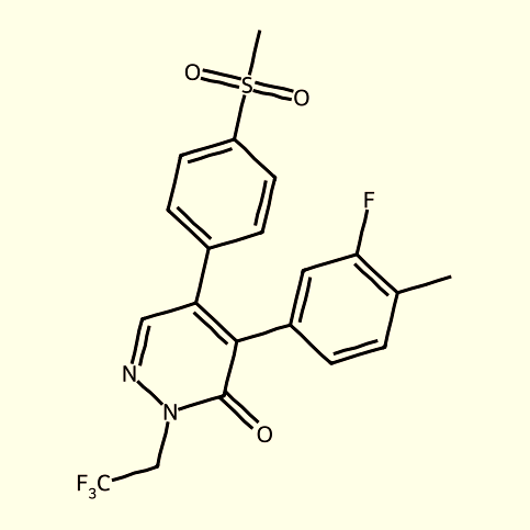 Cc1ccc(-c2c(-c3ccc(S(C)(=O)=O)cc3)cnn(CC(F)(F)F)c2=O)cc1F